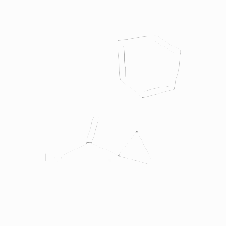 C[C@@]1(C(=O)O)O[C@H]1c1ccccc1